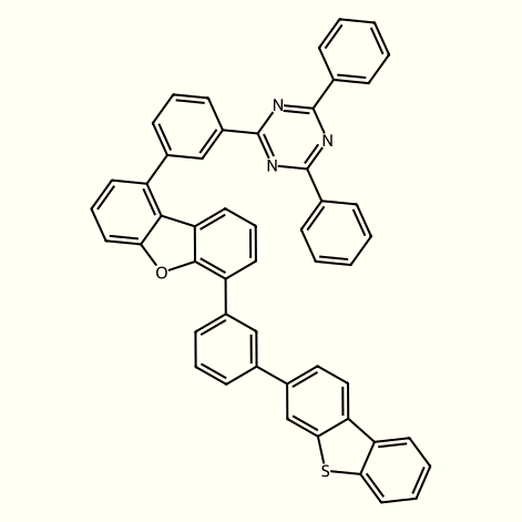 c1ccc(-c2nc(-c3ccccc3)nc(-c3cccc(-c4cccc5oc6c(-c7cccc(-c8ccc9c(c8)sc8ccccc89)c7)cccc6c45)c3)n2)cc1